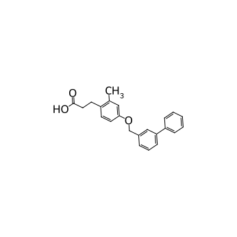 Cc1cc(OCc2cccc(-c3ccccc3)c2)ccc1CCC(=O)O